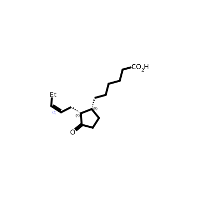 CC/C=C\C[C@H]1C(=O)CC[C@H]1CCCCCC(=O)O